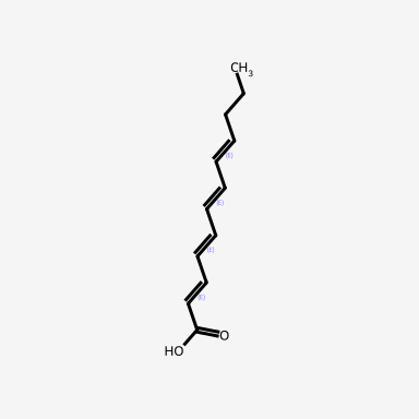 CCC/C=C/C=C/C=C/C=C/C(=O)O